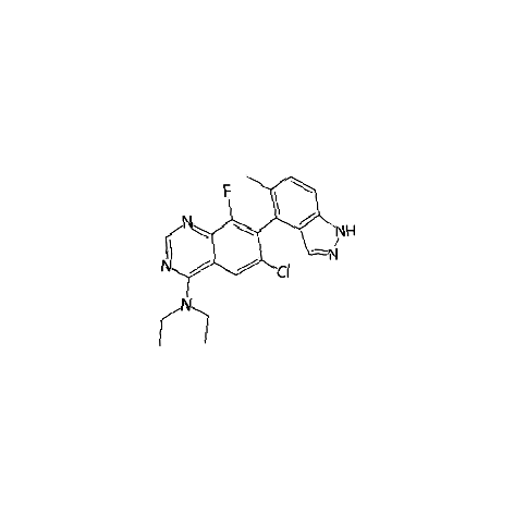 CCN(CC)c1ncnc2c(F)c(-c3c(C)ccc4[nH]ncc34)c(Cl)cc12